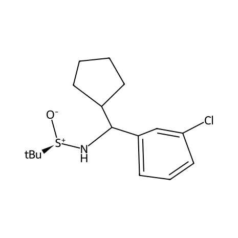 CC(C)(C)[S@@+]([O-])NC(c1cccc(Cl)c1)C1CCCC1